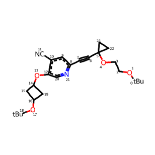 CC(C)(C)OCCOC1(C#Cc2cc(C#N)c(OC3CC(OC(C)(C)C)C3)cn2)CC1